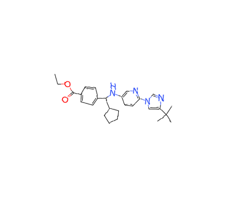 CCOC(=O)c1ccc(C(Nc2ccc(-n3cnc(C(C)(C)C)c3)nc2)C2CCCC2)cc1